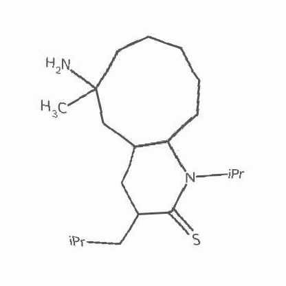 CC(C)CC1CC2CC(C)(N)CCCCCC2N(C(C)C)C1=S